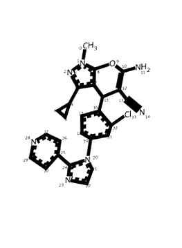 Cn1nc(C2CC2)c2c1OC(N)=C(C#N)C2c1ccc(-n2ccnc2-c2ccncc2)cc1Cl